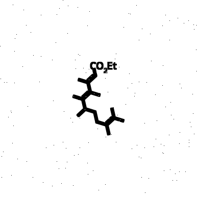 CCOC(=O)/C=C(C)/C(C)=C(\C)C(C)CCC(C)=C(C)C